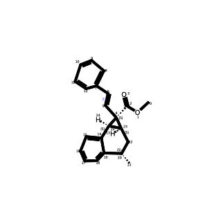 COC(=O)[C@@]1(/C=C/c2ccccc2)[C@@H]2c3ccccc3[C@@H](C)C[C@@H]21